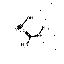 N#CO.NNC(N)=O